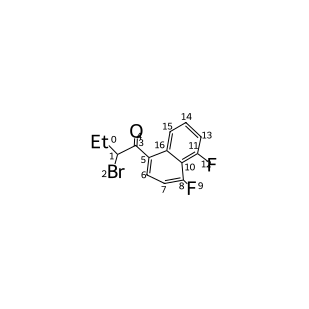 CCC(Br)C(=O)c1ccc(F)c2c(F)cccc12